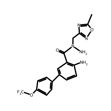 Cc1nc(CN(N)C(=O)c2cc(-c3ccc(OC(F)(F)F)cc3)ccc2N)no1